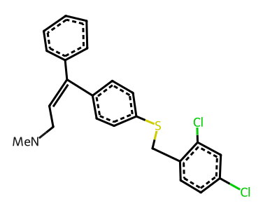 CNCC=C(c1ccccc1)c1ccc(SCc2ccc(Cl)cc2Cl)cc1